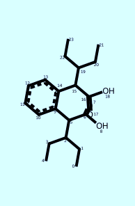 CCC(CC)C(C(=O)O)c1ccccc1C(C(=O)O)C(CC)CC